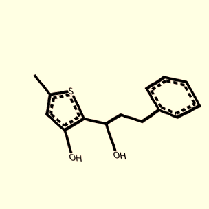 Cc1cc(O)c(C(O)CCc2ccccc2)s1